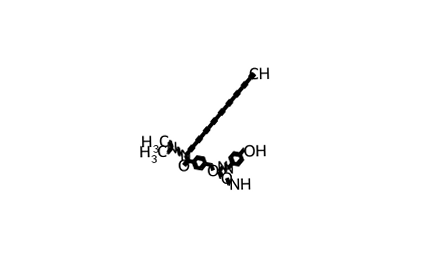 C#CC#CC#CC#CC#CC#CC#CC#CC#CN(CCN(CC)CC)C(=O)c1ccc(CO/C(=C/OC=N)N=Nc2ccc(CO)cc2)cc1